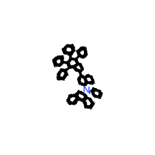 c1ccc(-c2c(-c3ccccc3)c(-c3ccccc3)c3cc(-c4ccc(N(c5ccccc5)c5cc6ccccc6c6ccccc56)c5ccccc45)ccc3c2-c2ccccc2)cc1